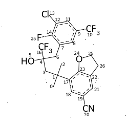 CC(C)(CC(O)(Cc1cc(C(F)(F)F)cc(Cl)c1F)C(F)(F)F)c1cc(C#N)cc2c1OCC2